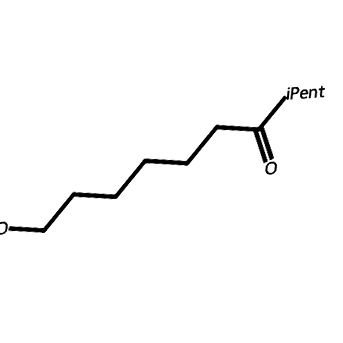 CCCC(C)C(=O)CCCCCCO